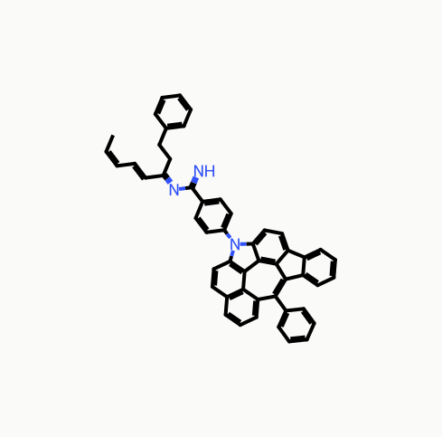 C\C=C/C=C/C(CCc1ccccc1)=N/C(=N)c1ccc(-n2c3ccc4c5c3c3c6c(cccc6c(-c6ccccc6)c-5c5ccccc54)ccc32)cc1